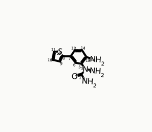 NC(=O)N(N)c1cc(-c2cccs2)ccc1N